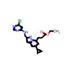 CCOC(=O)CCc1cc(C2CC2)cc2cc(CNc3cc(Br)ncn3)nn12